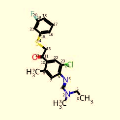 CCN(C)C=Nc1cc(C)c(C(=O)CSc2cccc(F)c2)cc1Cl